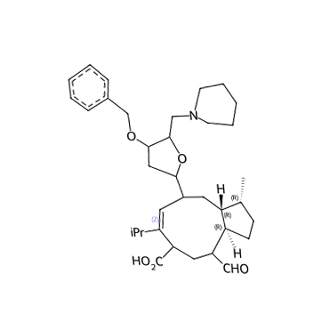 CC(C)/C1=C/C(C2CC(OCc3ccccc3)C(CN3CCCCC3)O2)C[C@@H]2[C@H](C)CC[C@H]2C(C=O)CC1C(=O)O